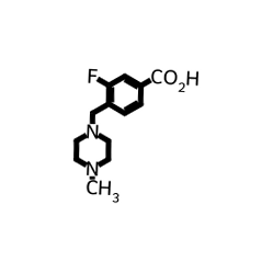 CN1CCN(Cc2ccc(C(=O)O)cc2F)CC1